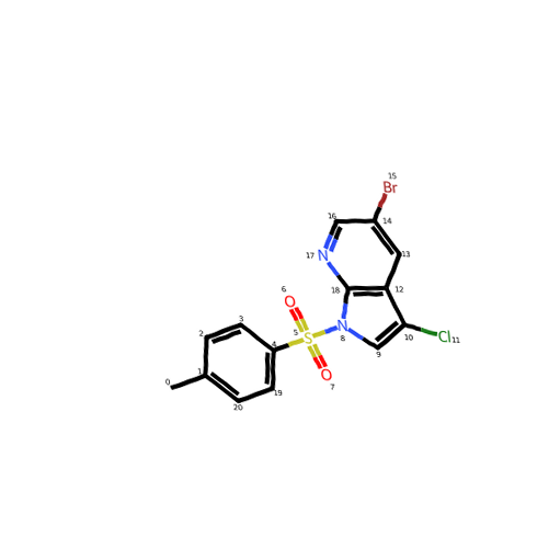 Cc1ccc(S(=O)(=O)n2cc(Cl)c3cc(Br)cnc32)cc1